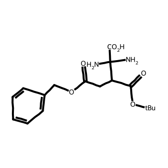 CC(C)(C)OC(=O)C(CC(=O)OCc1ccccc1)C(N)(N)C(=O)O